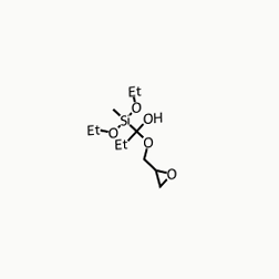 CCO[Si](C)(OCC)C(O)(CC)OCC1CO1